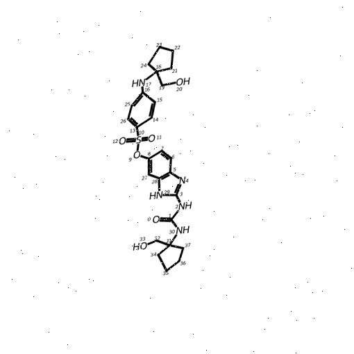 O=C(Nc1nc2ccc(OS(=O)(=O)c3ccc(NC4(CO)CCCC4)cc3)cc2[nH]1)NC1(CO)CCCC1